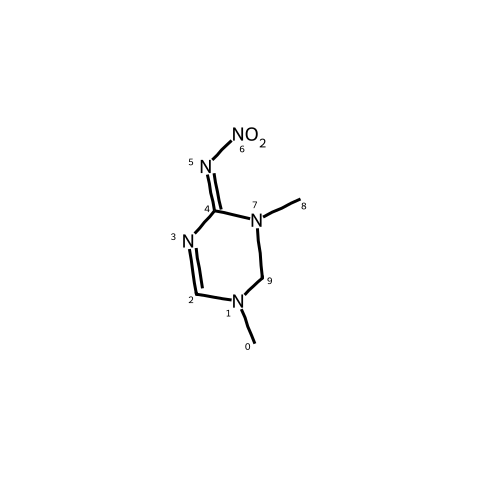 CN1C=NC(=N[N+](=O)[O-])N(C)C1